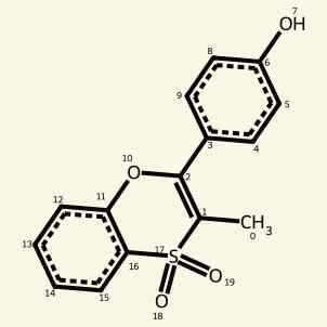 CC1=C(c2ccc(O)cc2)Oc2ccccc2S1(=O)=O